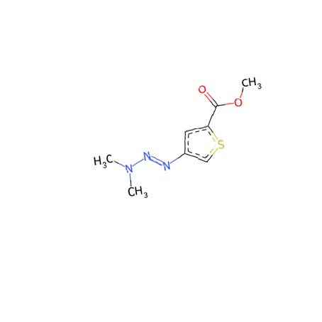 COC(=O)c1cc(/N=N/N(C)C)cs1